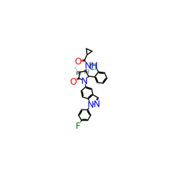 C[C@H]1C(=O)N(c2ccc3c(cnn3-c3ccc(F)cc3)c2)C(c2ccccc2Cl)[C@H]1NC(=O)C1CC1